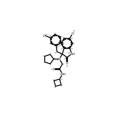 O=C(CN(C1CCCC1)C1(Cc2cccc(Cl)c2)C(=O)Nc2cc(Cl)ccc21)NC1CCC1